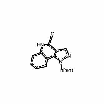 CCCCCn1ncc2c(=O)[nH]c3ccccc3c21